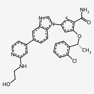 C[C@@H](Oc1cc(-n2cnc3cc(-c4ccnc(NCCO)c4)ccc32)sc1C(N)=O)c1ccccc1Cl